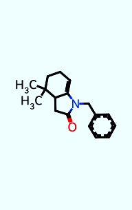 CC1(C)CCC=C2C1CC(=O)N2Cc1ccccc1